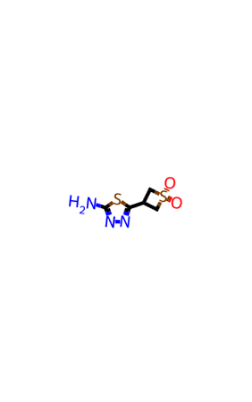 Nc1nnc(C2CS(=O)(=O)C2)s1